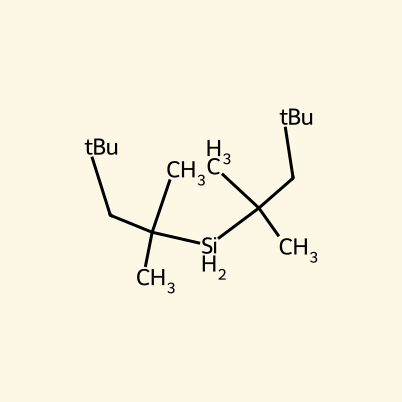 CC(C)(C)CC(C)(C)[SiH2]C(C)(C)CC(C)(C)C